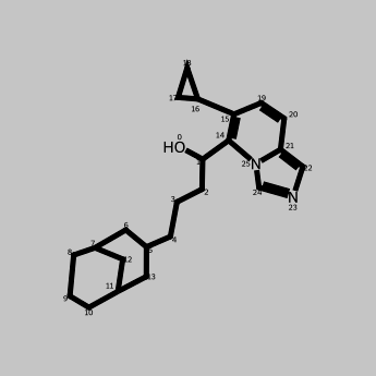 OC(CCCC1CC2CCCC(C2)C1)c1c(C2CC2)ccc2cncn12